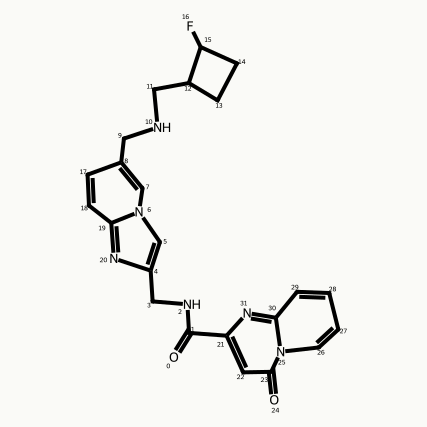 O=C(NCc1cn2cc(CNCC3CCC3F)ccc2n1)c1cc(=O)n2ccccc2n1